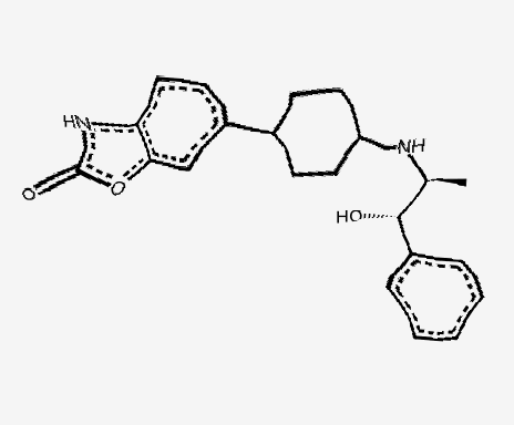 C[C@H](NC1CCC(c2ccc3[nH]c(=O)oc3c2)CC1)[C@@H](O)c1ccccc1